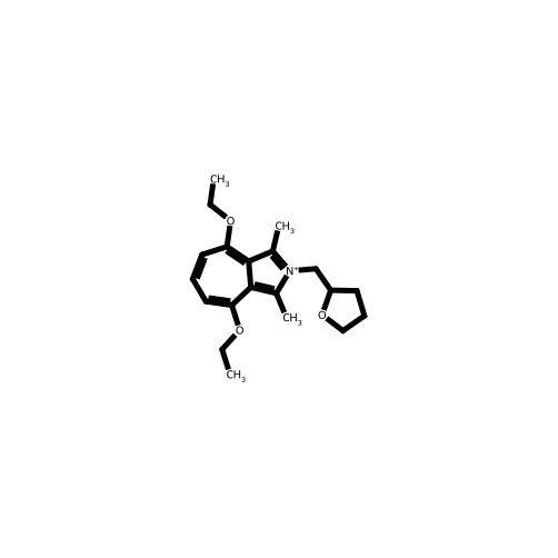 CCOc1cccc(OCC)c2c(C)[n+](CC3CCCO3)c(C)c1-2